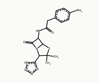 CC1(C)SC2C(NC(=O)Cc3ccc(N)cc3)C(=O)N2C1c1nnn[nH]1